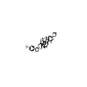 CC1[C@@H]2CCC(Oc3ccc(F)cc3)CN2CCN1c1ccc(Cl)cn1